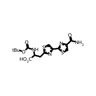 CC(C)(C)OC(=O)NC(Cc1nc(-c2nc(C(N)=O)cs2)cs1)C(=O)O